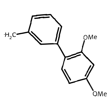 [CH2]c1cccc(-c2ccc(OC)cc2OC)c1